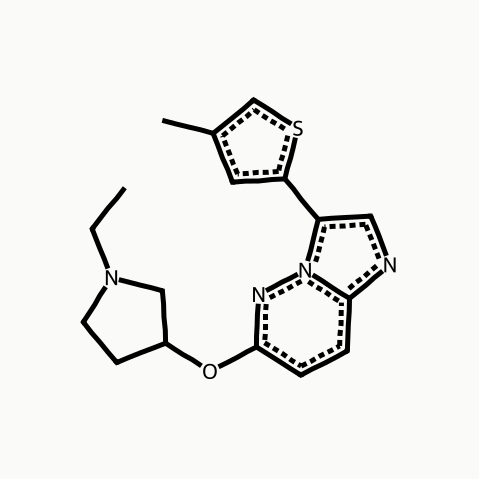 CCN1CCC(Oc2ccc3ncc(-c4cc(C)cs4)n3n2)C1